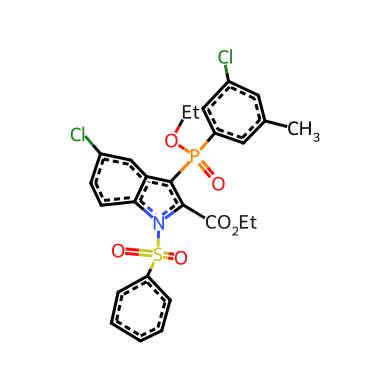 CCOC(=O)c1c(P(=O)(OCC)c2cc(C)cc(Cl)c2)c2cc(Cl)ccc2n1S(=O)(=O)c1ccccc1